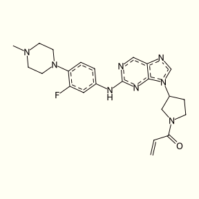 C=CC(=O)N1CCC(n2cnc3cnc(Nc4ccc(N5CCN(C)CC5)c(F)c4)nc32)C1